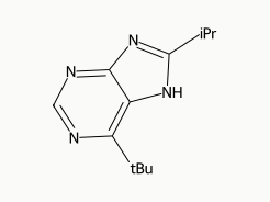 CC(C)c1nc2ncnc(C(C)(C)C)c2[nH]1